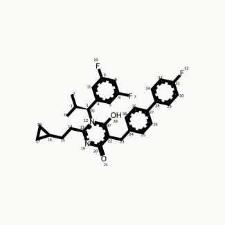 CC(C)[C@@H](c1cc(F)cc(F)c1)n1c(CCC2CC2)nc(=O)c(Cc2ccc(-c3ccc(F)cc3)cc2)c1O